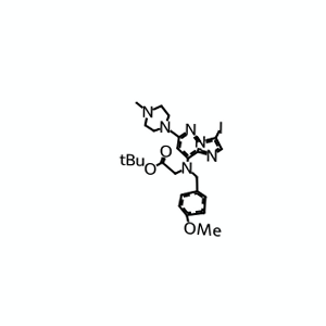 COc1ccc(CN(CC(=O)OC(C)(C)C)c2cc(N3CCN(C)CC3)nn3c(I)cnc23)cc1